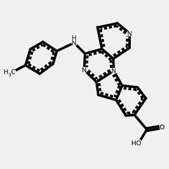 Cc1ccc(Nc2nc3cc4cc(C(=O)O)ccc4n3c3cnccc23)cc1